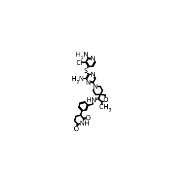 C[C@@H]1OCC2(CCN(c3cnc(Sc4ccnc(N)c4Cl)c(N)n3)CC2)[C@@H]1NCc1cccc(C2CCC(=O)NC2=O)c1